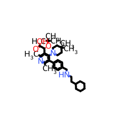 Cc1nc(C)c([C@H](OC(C)(C)C)C(=O)O)c(N2CCC(C)(C)CC2)c1-c1ccc(CNCCC2CCCCC2)cc1